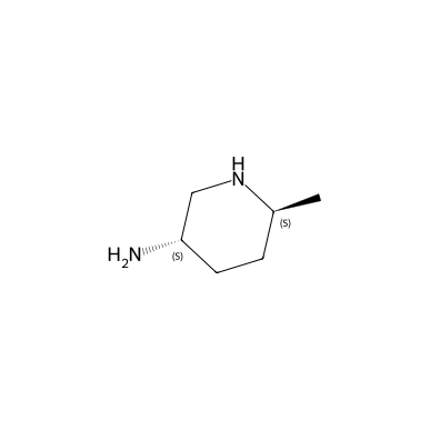 C[C@H]1CC[C@H](N)CN1